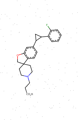 O=C(O)CCN1CCC2(CC1)COc1cc(C3CC3c3ccccc3F)ccc12